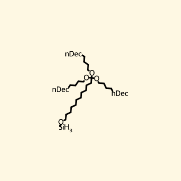 CCCCCCCCCCCCCCOC(CCCCCCCCCCCO[SiH3])(OCCCCCCCCCCCCCC)OCCCCCCCCCCCCCC